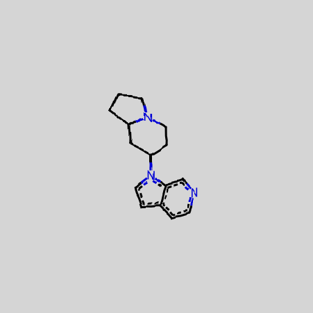 c1cc2ccn(C3CCN4CCCC4C3)c2cn1